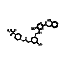 CCCC1C[C@@H](CNC[C@H]2CC[C@H](S(N)(=O)=O)CC2)C[C@H](CNc2nc(NCc3ccccc3O)ncc2C#N)C1